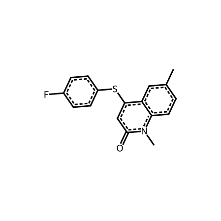 Cc1ccc2c(c1)c(Sc1ccc(F)cc1)cc(=O)n2C